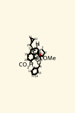 CO[C@]12CC[C@@]3(C[C@@H]1COCc1ccccc1)[C@H]1Cc4ccc(C(=O)O)c5c4[C@@]3(CCN1CC1CC1)[C@H]2O5